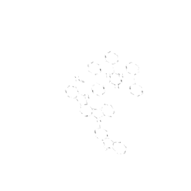 N#Cc1cc(-c2nc(-c3ccccc3-c3ccccc3)nc(-c3ccccc3-c3ccccc3)n2)ccc1-n1c2ccccc2c2ccc3c(c4ccccc4n3-c3ccc4sc5ccccc5c4c3)c21